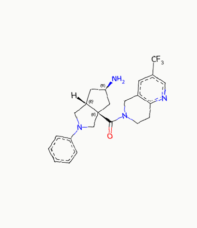 N[C@@H]1C[C@H]2CN(c3ccccc3)C[C@@]2(C(=O)N2CCc3ncc(C(F)(F)F)cc3C2)C1